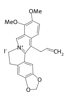 C=CCc1c2[n+](cc3c(OC)c(OC)ccc13)CCc1cc3c(cc1-2)OCO3.[I-]